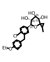 CCOc1ccc(Cc2cc([C@@H]3OC4(CC4C)[C@@H](O)[C@H](O)[C@H]3O)ccc2Cl)cc1